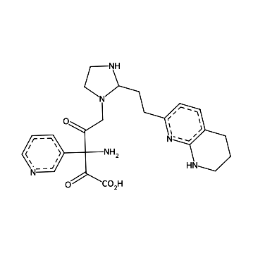 NC(C(=O)CN1CCNC1CCc1ccc2c(n1)NCCC2)(C(=O)C(=O)O)c1cccnc1